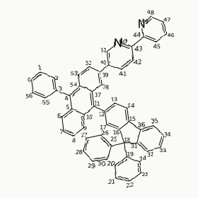 c1ccc(-c2c3ccccc3c(-c3ccc4c(c3)C(c3ccccc3)(c3ccccc3)c3ccccc3-4)c3cc(-c4ccc(-c5ccccn5)nc4)ccc23)cc1